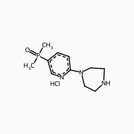 CP(C)(=O)c1ccc(N2CCNCC2)nc1.Cl